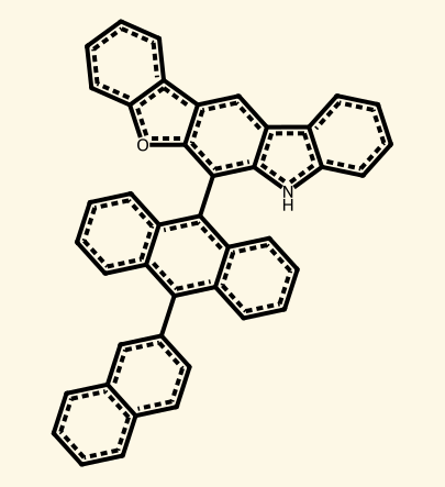 c1ccc2cc(-c3c4ccccc4c(-c4c5[nH]c6ccccc6c5cc5c4oc4ccccc45)c4ccccc34)ccc2c1